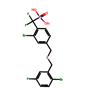 O=P(O)(O)C(F)(F)c1ccc(CSCc2cc(F)ccc2Br)cc1Br